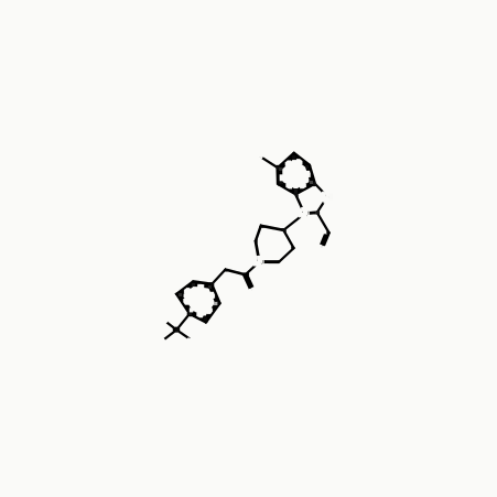 O=CC1Nc2ccc(O)cc2N1C1CCN(C(=O)Cc2ccc(C(F)(F)F)cc2)CC1